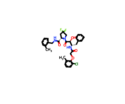 Cc1ccccc1CNC(=O)[C@@H]1CC(F)(F)CN1C(=O)[C@@H](O)[C@H](Cc1ccccc1)NC(=O)COc1c(C)cccc1Cl